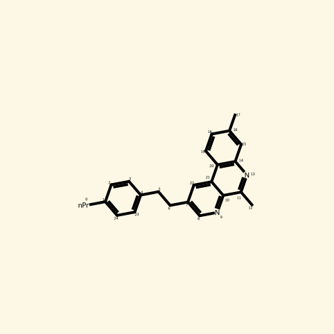 CCCc1ccc(CCc2cnc3c(C)nc4cc(C)ccc4c3c2)cc1